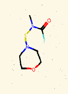 CN(SN1CCOCC1)C(=O)F